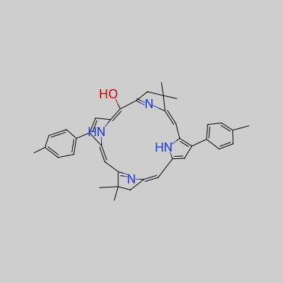 Cc1ccc(-c2cc3cc4nc(cc5[nH]c(cc5-c5ccc(C)cc5)c(O)c5nc(cc2[nH]3)C(C)(C)C5)C(C)(C)C4)cc1